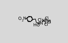 O=[N+]([O-])c1ccc(CCC(O)(Cl)N=N[PH](Cl)(Cl)Cl)cc1